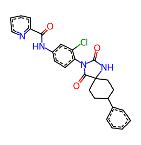 O=C(Nc1ccc(N2C(=O)NC3(CCC(c4ccccc4)CC3)C2=O)c(Cl)c1)c1ccccn1